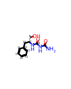 NC(=O)NC(=O)N[C@@H](CO)Cc1ccccc1